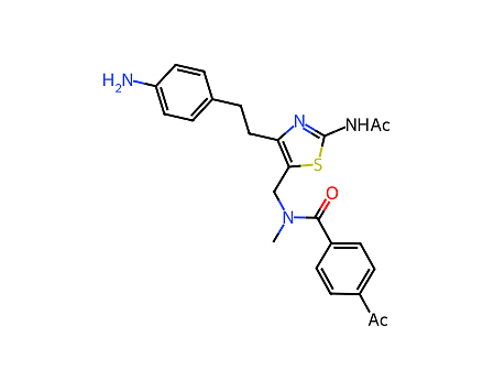 CC(=O)Nc1nc(CCc2ccc(N)cc2)c(CN(C)C(=O)c2ccc(C(C)=O)cc2)s1